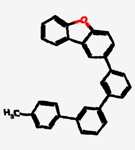 Cc1ccc(-c2cccc(-c3cccc(-c4ccc5oc6ccccc6c5c4)c3)c2)cc1